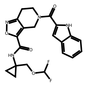 O=C(NC1(COC(F)F)CC1)c1onc2c1CN(C(=O)c1cc3ccccc3[nH]1)CC2